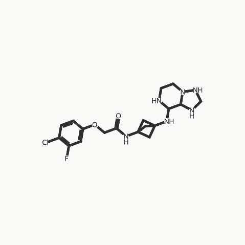 O=C(COc1ccc(Cl)c(F)c1)NC12CC(NC3NCCN4NCNC34)(C1)C2